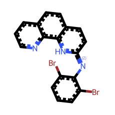 Brc1cccc(Br)c1/N=c1/ccc2ccc3cccnc3c2[nH]1